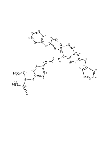 COC(Cc1ccc(OCCOC2c3ccc(Cc4ccccc4)cc3C=Cc3ccc(Cc4ccccc4)cc32)cc1)C(=O)O